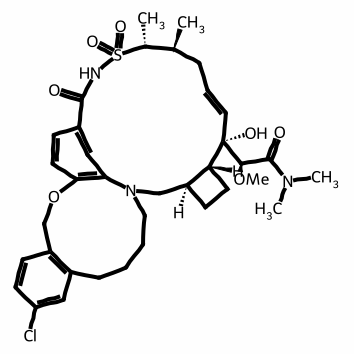 CO[C@H](C(=O)N(C)C)[C@]1(O)/C=C/C[C@H](C)[C@@H](C)S(=O)(=O)NC(=O)c2ccc3c(c2)N(CCCCc2cc(Cl)ccc2CO3)C[C@@H]2CC[C@H]21